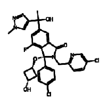 Cn1cc(C(C)(O)c2cc(F)c3c(c2)C(=O)N(Cc2ccc(Cl)cn2)[C@@]3(O[C@H]2C[C@H](O)C2)c2ccc(Cl)cc2)cn1